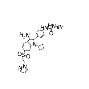 CC(C)NC(=O)Nc1ccc(-c2c(N)c3ccc(S(=O)(=O)CCn4cccn4)cc3n2C2CCC2)cc1